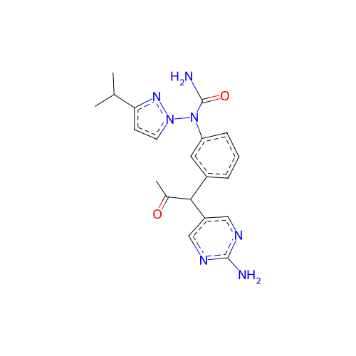 CC(=O)C(c1cnc(N)nc1)c1cccc(N(C(N)=O)n2ccc(C(C)C)n2)c1